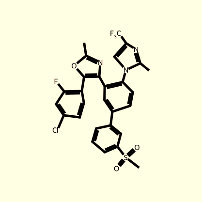 Cc1nc(-c2cc(-c3cccc(S(C)(=O)=O)c3)ccc2-n2cc(C(F)(F)F)nc2C)c(-c2ccc(Cl)cc2F)o1